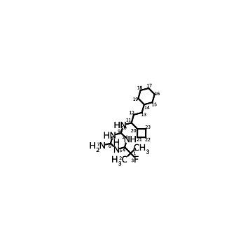 CC(C)(F)C1NC(N)NC(NC(CCC2CCCCC2)C2CCC2)N1